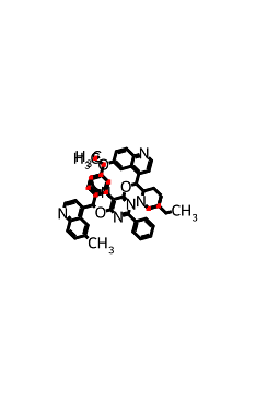 CCC1CN2CCC1CC2C(Oc1nc(-c2ccccc2)nc(OC(c2ccnc3ccc(OC)cc23)C2CC3CCN2CC3CC)c1-c1ccccc1)c1ccnc2ccc(C)cc12